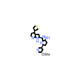 COc1cncc(-c2ccc3[nH]nc(-c4cc5c(-c6ccsc6)ccnc5[nH]4)c3n2)c1